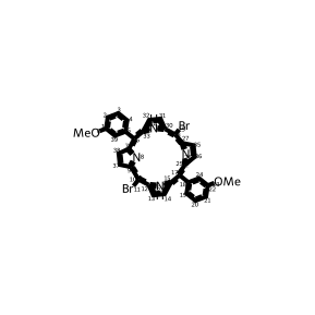 COc1cccc(-c2c3nc(c(Br)c4ccc([nH]4)c(-c4cccc(OC)c4)c4nc(c(Br)c5ccc2[nH]5)C=C4)C=C3)c1